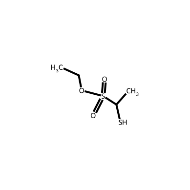 CCOS(=O)(=O)C(C)S